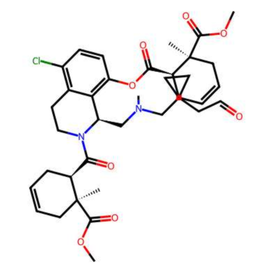 COC(=O)[C@@]1(C)CC=CC[C@H]1C(=O)Oc1ccc(Cl)c2c1[C@@H](CN(C)CC1(CC=O)CC1)N(C(=O)[C@@H]1CC=CC[C@]1(C)C(=O)OC)CC2